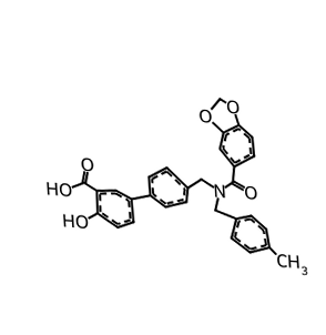 Cc1ccc(CN(Cc2ccc(-c3ccc(O)c(C(=O)O)c3)cc2)C(=O)c2ccc3c(c2)OCO3)cc1